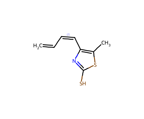 C=C/C=C\c1nc(S)sc1C